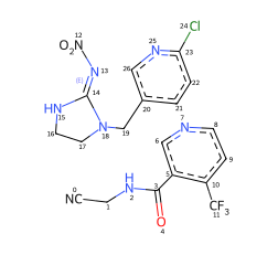 N#CCNC(=O)c1cnccc1C(F)(F)F.O=[N+]([O-])/N=C1\NCCN1Cc1ccc(Cl)nc1